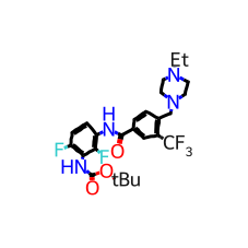 CCN1CCN(Cc2ccc(C(=O)Nc3ccc(F)c(NC(=O)OC(C)(C)C)c3F)cc2C(F)(F)F)CC1